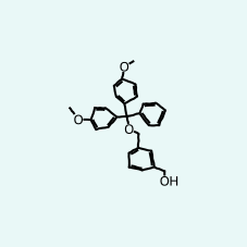 COc1ccc(C(OCc2cccc(CO)c2)(c2ccccc2)c2ccc(OC)cc2)cc1